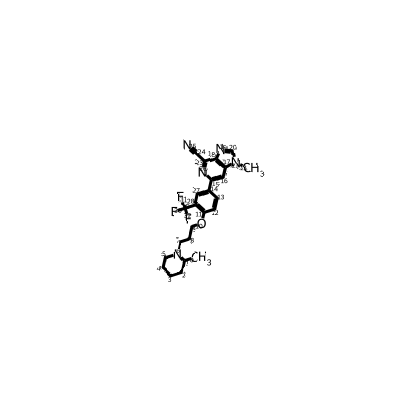 CC1CCCCN1CCCOc1ccc(-c2cc3c(ncn3C)c(C#N)n2)cc1C(F)(F)F